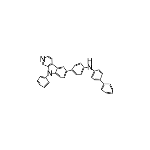 c1ccc(-c2ccc(Nc3ccc(-c4ccc5c(c4)c4ccncc4n5-c4ccccc4)cc3)cc2)cc1